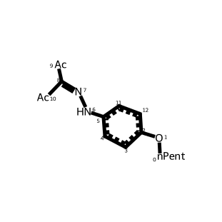 CCCCCOc1ccc(NN=C(C(C)=O)C(C)=O)cc1